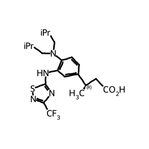 CC(C)CN(CC(C)C)c1ccc([C@H](C)CC(=O)O)cc1Nc1nc(C(F)(F)F)ns1